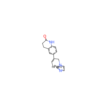 CCCCCC=C(Cn1ccnc1)c1ccc2c(c1)CCC(=O)N2